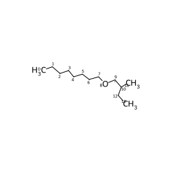 CCCCCCCCO[CH]C(C)CC